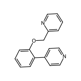 c1ccc(COc2ccccc2-c2ccncc2)nc1